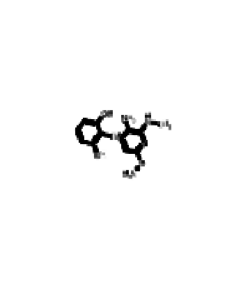 CNc1nc(OC)ccc1N.Cc1c(O)cccc1O